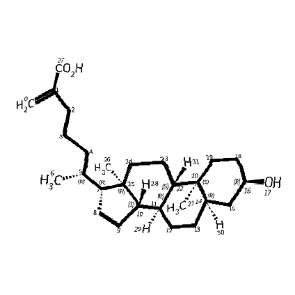 C=C(CCC[C@@H](C)[C@H]1CC[C@H]2[C@@H]3CC[C@@H]4C[C@H](O)CC[C@]4(C)[C@H]3CC[C@]12C)C(=O)O